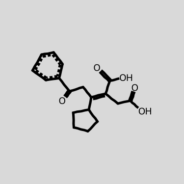 O=C(O)CC(C(=O)O)=C(CC(=O)c1ccccc1)C1CCCC1